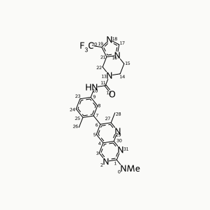 CNc1ncc2cc(-c3cc(NC(=O)N4CCn5cnc(C(F)(F)F)c5C4)ccc3C)c(C)nc2n1